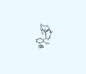 CC(C)(C)c1cccc(-c2ccccc2OC(=O)O)c1C(C)(C)C